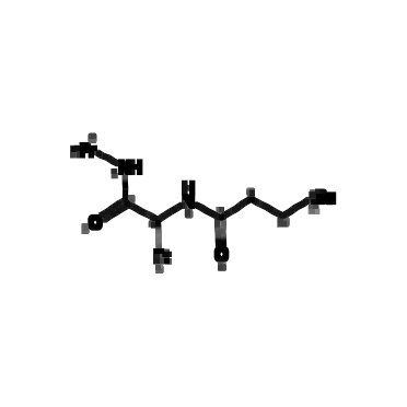 CCCNC(=O)C(CC)NC(=O)CCC(C)(C)C